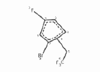 Fc1ccc(CC(F)(F)F)c(Br)c1